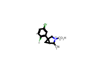 N#CC1C2CC2(c2cc(Br)ccc2F)CN1C(=O)O